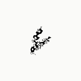 Cc1ccc(C)c(Nc2cc(C(=O)N3CCC(c4ccc(F)nc4)CC3)nc3c(C(=O)NS(=O)(=O)C4CC4)cnn23)c1